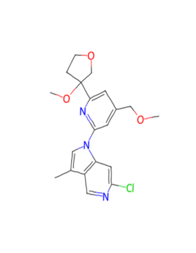 COCc1cc(-n2cc(C)c3cnc(Cl)cc32)nc(C2(OC)CCOC2)c1